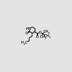 CCCCC1C(=O)NCCN1C(=O)OC(C)(C)C